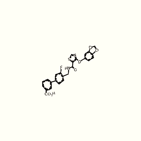 O=C(O)c1cccc(-c2ccc(CNC(=O)c3scnc3Oc3ccc4c(c3)OCO4)c(F)c2)c1